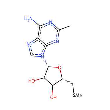 CSC[C@H]1O[C@@H](n2cnc3c(N)nc(C)nc32)C(O)C1O